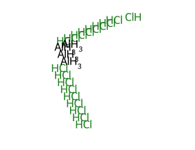 Cl.Cl.Cl.Cl.Cl.Cl.Cl.Cl.Cl.Cl.Cl.Cl.Cl.Cl.Cl.Cl.Cl.Cl.[AlH3].[AlH3].[AlH3].[AlH3]